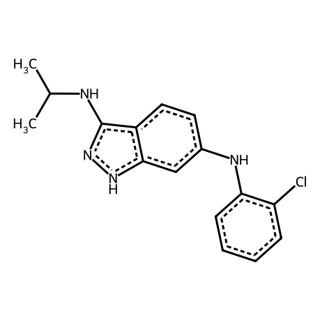 CC(C)Nc1n[nH]c2cc(Nc3ccccc3Cl)ccc12